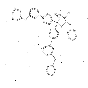 C=CC(SC(Oc1ccccc1)C(=O)O)(c1ccc(-c2cccc(Oc3ccccc3)c2)cc1)c1ccc(-c2cccc(Oc3ccccc3)c2)cc1